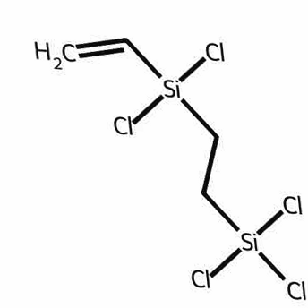 C=C[Si](Cl)(Cl)CC[Si](Cl)(Cl)Cl